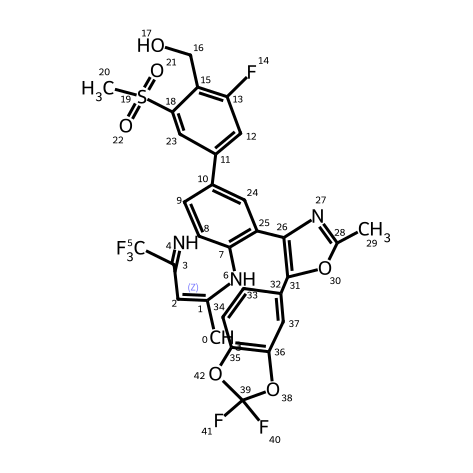 C/C(=C/C(=N)C(F)(F)F)Nc1ccc(-c2cc(F)c(CO)c(S(C)(=O)=O)c2)cc1-c1nc(C)oc1-c1ccc2c(c1)OC(F)(F)O2